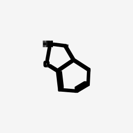 [CH]1NOC2=CC=CCC12